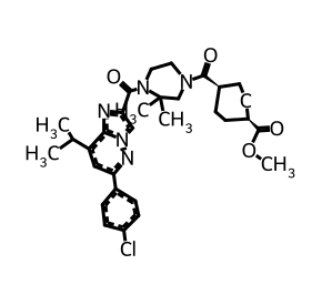 COC(=O)[C@H]1CC[C@@H](C(=O)N2CCN(C(=O)c3cn4nc(-c5ccc(Cl)cc5)cc(C(C)C)c4n3)C(C)(C)C2)CC1